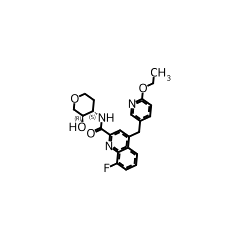 CCOc1ccc(Cc2cc(C(=O)N[C@H]3CCOC[C@@H]3O)nc3c(F)cccc23)cn1